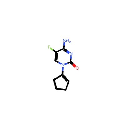 Nc1nc(=O)n(C2=CCCC2)cc1F